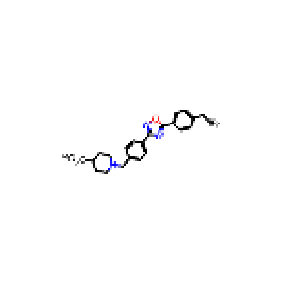 CC(C)Cc1ccc(-c2nc(-c3ccc(CN4CCC(C(=O)O)CC4)cc3)no2)cc1